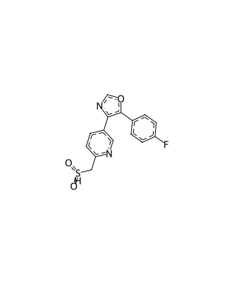 O=[SH](=O)Cc1ccc(-c2ncoc2-c2ccc(F)cc2)cn1